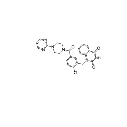 O=C(c1ccc(Cl)c(Cn2c(=O)[nH]c(=O)c3ccccc32)c1)N1CCN(c2ncccn2)CC1